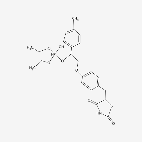 CCO[PH](O)(OCC)OC(COc1ccc(CC2SC(=O)NC2=O)cc1)c1ccc(C)cc1